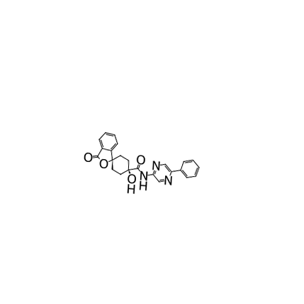 O=C1O[C@]2(CC[C@@](O)(C(=O)Nc3cnc(-c4ccccc4)cn3)CC2)c2ccccc21